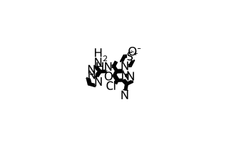 CC(NC(=O)c1c(N)nn2cccnc12)c1cc(Cl)c2c(C#N)cnn2c1N1CC[S+]([O-])CC1